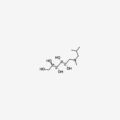 CC(C)CN(C)C[C@H](O)[C@@H](O)[C@H](O)[C@H](O)CO